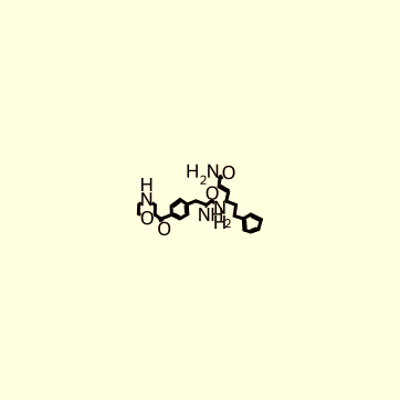 NC(=O)C=CC(CCc1ccccc1)NC(=O)[C@@H](N)Cc1ccc(C(=O)C2CNCCO2)cc1